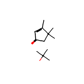 CC1=CC(=O)[C@@H](CC(C)(C)O)C1(C)C